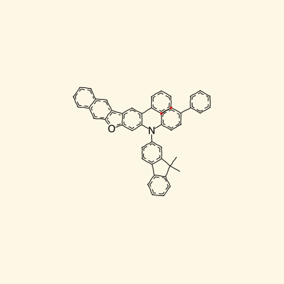 CC1(C)c2ccccc2-c2ccc(N(c3ccc(-c4ccccc4)cc3)c3cc4oc5cc6ccccc6cc5c4cc3-c3ccccc3)cc21